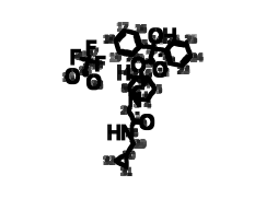 O=C(C[N+]12CCC(CC1)[C@@H](OC(=O)C(O)(c1ccccc1)c1ccccc1)C2)NCC1CC1.O=C([O-])C(F)(F)F